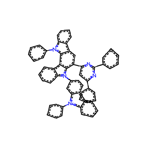 c1ccc(-c2cc(-c3cc4c5ccccc5n(-c5ccccc5)c4c4c5ccccc5n(-c5ccc6c7ccccc7n(-c7ccccc7)c6c5)c34)nc(-c3ccccc3)n2)cc1